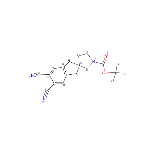 CC(C)(C)OC(=O)N1CCC2(Cc3cc(C#N)c(C#N)cc3C2)C1